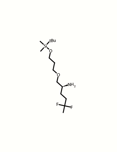 CC(F)(F)CC[C@H](N)COCCCO[Si](C)(C)C(C)(C)C